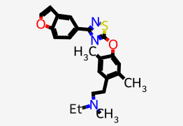 CCN(C)CCc1cc(C)c(Oc2nc(-c3ccc4occc4c3)ns2)cc1C